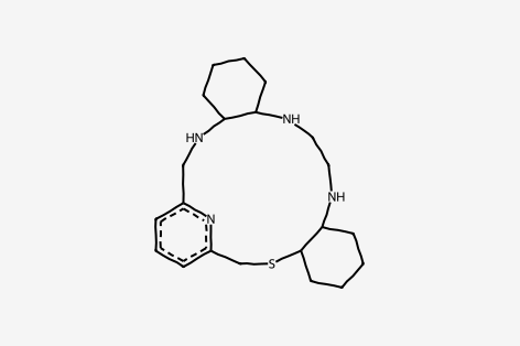 c1cc2nc(c1)CSC1CCCCC1NCCNC1CCCCC1NC2